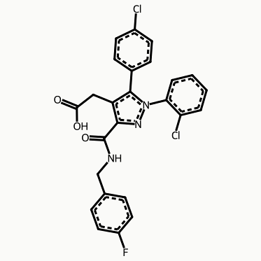 O=C(O)Cc1c(C(=O)NCc2ccc(F)cc2)nn(-c2ccccc2Cl)c1-c1ccc(Cl)cc1